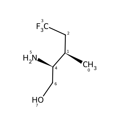 C[C@H](CC(F)(F)F)[C@H](N)CO